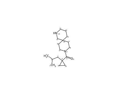 CC(C)CC1(C(=O)N2CCC3(CCCNC3)CC2)CC1